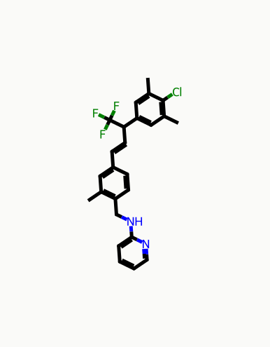 Cc1cc(/C=C/C(c2cc(C)c(Cl)c(C)c2)C(F)(F)F)ccc1CNc1ccccn1